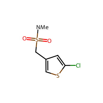 CNS(=O)(=O)Cc1csc(Cl)c1